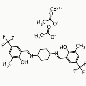 CC(=O)[O-].CC(=O)[O-].Cc1cc(C(F)(F)F)cc(C=NC2CCC(N=Cc3cc(C(F)(F)F)cc(C)c3O)CC2)c1O.[Co+2]